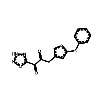 O=C(Cc1csc(Sc2ccccc2)c1)C(=O)c1nn[nH]n1